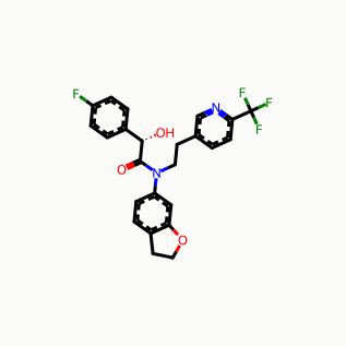 O=C([C@@H](O)c1ccc(F)cc1)N(CCc1ccc(C(F)(F)F)nc1)c1ccc2c(c1)OCC2